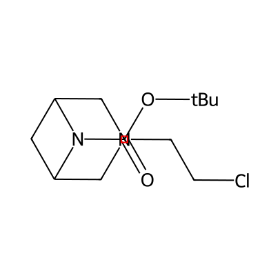 CC(C)(C)OC(=O)N1C2CC1CN(CCCl)C2